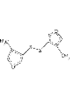 Cc1cocc1SSc1cocc1C